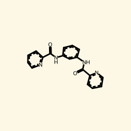 O=C(Nc1cccc(NC(=O)c2ccccn2)c1)c1ccccn1